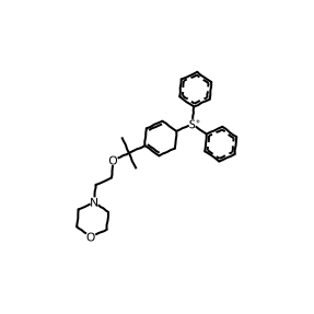 CC(C)(OCCN1CCOCC1)C1=CCC([S+](c2ccccc2)c2ccccc2)C=C1